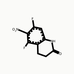 O=C1CCc2c(cc(F)c([N+](=O)[O-])c2F)N1